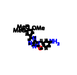 COc1cc(-c2cnc3c(n2)N(Cc2cccc(N)c2)C(=O)[N]3)cc(OC)c1OC